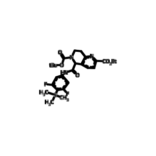 CCOC(=O)c1ccc2c(n1)CCN(C(=O)OC(C)(C)C)C2C(=O)Nc1cc(F)c([Si](C)(C)C)c(F)c1